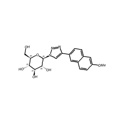 COc1ccc2cc(-c3cn([C@@H]4O[C@H](CO)[C@@H](O)[C@H](O)[C@H]4O)nn3)ccc2c1